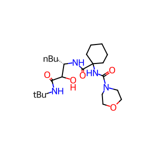 CCCC[C@H](NC(=O)C1(NC(=O)N2CCOCC2)CCCCC1)C(O)C(=O)NC(C)(C)C